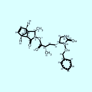 C[C@@H]1C2C(C(=O)N1OC(=O)[C@@H](C)CC[C@@H]1CNC(=O)N1OCc1ccccc1)[C@@H]1C=C[C@H]2C1